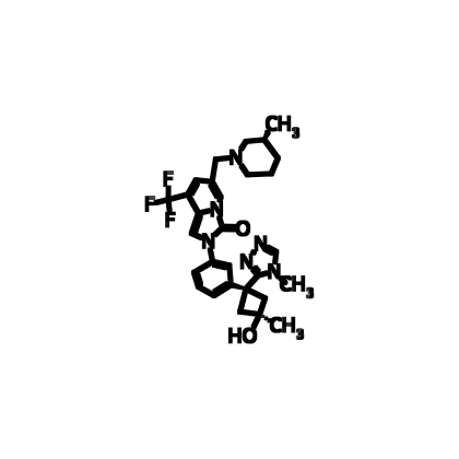 C[C@H]1CCCN(Cc2cc(C(F)(F)F)c3cn(-c4cccc([C@]5(c6nncn6C)C[C@](C)(O)C5)c4)c(=O)n3c2)C1